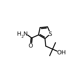 CC(C)(O)Cc1sccc1C(N)=O